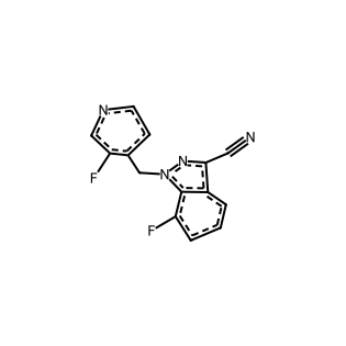 N#Cc1nn(Cc2ccncc2F)c2c(F)cccc12